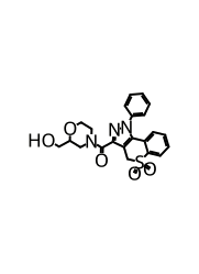 O=C(c1nn(-c2ccccc2)c2c1CS(=O)(=O)c1ccccc1-2)N1CCOC(CO)C1